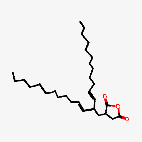 CCCCCCCCCCC=CC(C=CCCCCCCCCCC)CC1CC(=O)OC1=O